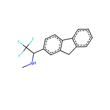 CNC(c1ccc2c(c1)Cc1ccccc1-2)C(F)(F)F